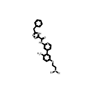 CCN(CC)CCOc1ccc(C)c(-c2ccnc(NC(=O)c3nnc(Cc4ccccc4)[nH]3)c2)c1